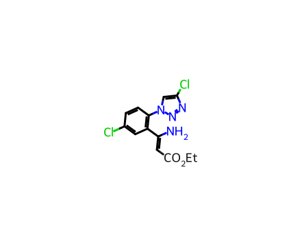 CCOC(=O)/C=C(\N)c1cc(Cl)ccc1-n1cc(Cl)nn1